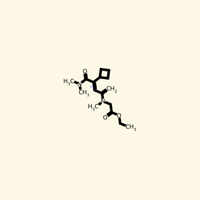 C=C(/C=C(/C(=O)N(C)C)C1CCC1)N(C)CC(=O)OCC